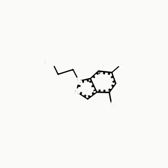 OCCn1ncc2c(Br)cc(F)cc21